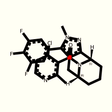 Cc1nccc(Cl)c1C(=O)N1[C@@H]2CCC[C@H]1c1nn(C)c(-c3cc(F)c(F)c(F)c3)c1C2